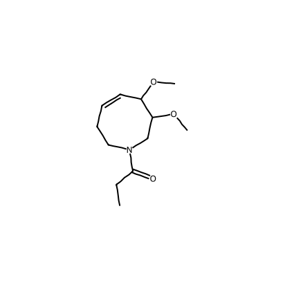 CCC(=O)N1CC/C=C\C(OC)C(OC)C1